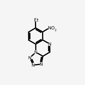 CCc1ccc2c(ncc3nnnn32)c1[N+](=O)[O-]